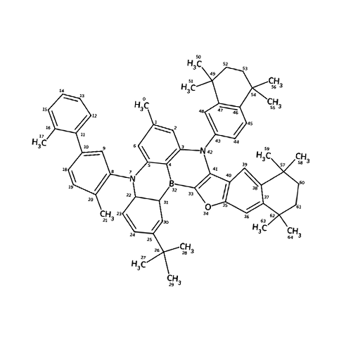 Cc1cc2c3c(c1)N(c1cc(-c4ccccc4C)ccc1C)C1C=CC(C(C)(C)C)=CC1B3c1oc3cc4c(cc3c1N2c1ccc2c(c1)C(C)(C)CCC2(C)C)C(C)(C)CCC4(C)C